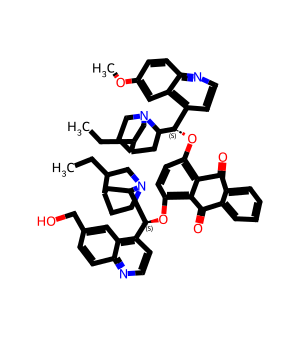 CCC1CN2CCC1CC2[C@@H](Oc1ccc(O[C@@H](c2ccnc3ccc(OC)cc23)C2CC3CCN2CC3CC)c2c1C(=O)c1ccccc1C2=O)c1ccnc2ccc(CO)cc12